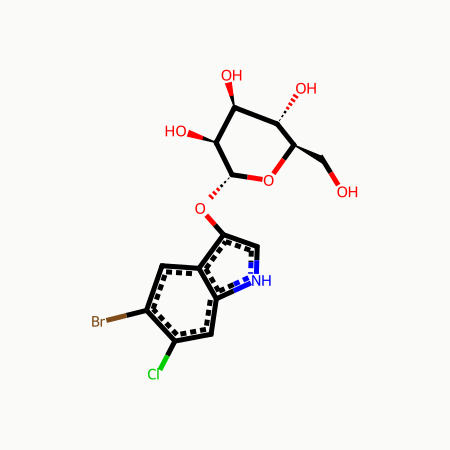 OC[C@H]1O[C@H](Oc2c[nH]c3cc(Cl)c(Br)cc23)[C@@H](O)[C@@H](O)[C@@H]1O